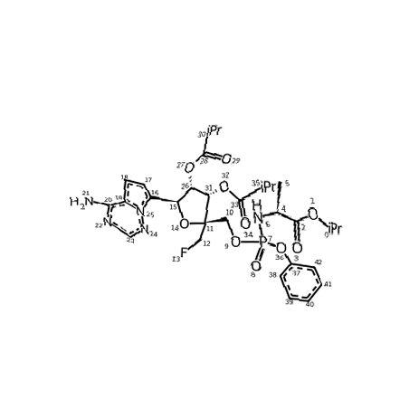 CC(C)OC(=O)[C@H](C)NP(=O)(OC[C@@]1(CF)O[C@@H](c2ccc3c(N)ncnn23)[C@H](OC(=O)C(C)C)[C@@H]1OC(=O)C(C)C)Oc1ccccc1